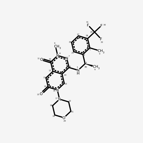 Cc1c([C@@H](C)Nc2nn(C)c(=O)c3cc(=O)n(N4CCOCC4)cc23)cccc1C(F)(F)F